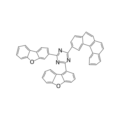 c1ccc2c(c1)ccc1ccc3ccc(-c4nc(-c5ccc6c(c5)oc5ccccc56)nc(-c5cccc6oc7ccccc7c56)n4)cc3c12